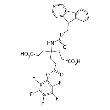 O=C(O)CCC(CCC(=O)O)(CCC(=O)Oc1c(F)c(F)c(F)c(F)c1F)NC(=O)OCC1c2ccccc2-c2ccccc21